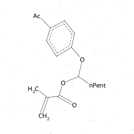 C=C(C)C(=O)OC(CCCCC)Oc1ccc(C(C)=O)cc1